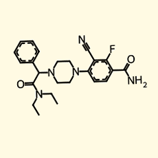 CCN(CC)C(=O)C(c1ccccc1)N1CCN(c2ccc(C(N)=O)c(F)c2C#N)CC1